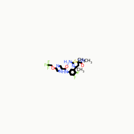 CNC(=O)[C@@]1(C)C[C@@](C)(c2cc(NC(=O)c3cnc(OCC(F)(F)F)cn3)cc(F)c2F)N=C(N)S1